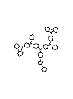 c1ccc(-c2ccc(-c3ccc(N(c4ccc(N(c5ccccc5)c5ccc(-n6c7ccccc7c7ccccc76)cc5)cc4)c4ccc(N(c5ccccc5)c5ccc(-n6c7ccccc7c7ccccc76)cc5)cc4)cc3)s2)cc1